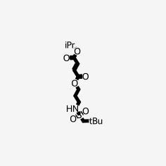 CC(C)OC(=O)/C=C/C(=O)OCCCNS(=O)(=O)CC(C)(C)C